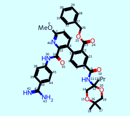 COc1ccc(-c2ccc(C(=O)NC3(C(C)C)COC(C)(C)CO3)cc2C(=O)OCc2ccccc2)c(C(=O)Nc2ccc(C(=N)N)cc2)n1